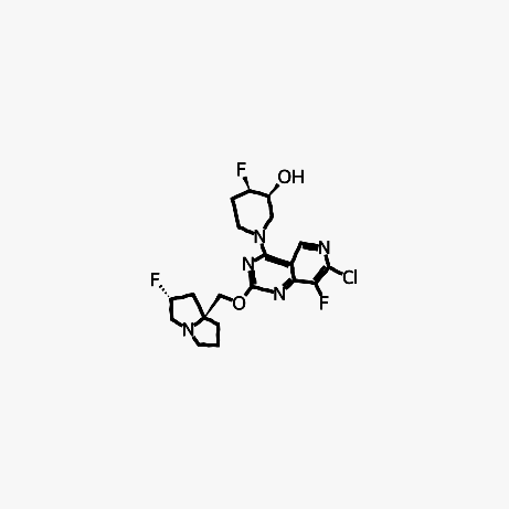 O[C@H]1CN(c2nc(OC[C@@]34CCCN3C[C@H](F)C4)nc3c(F)c(Cl)ncc23)CC[C@H]1F